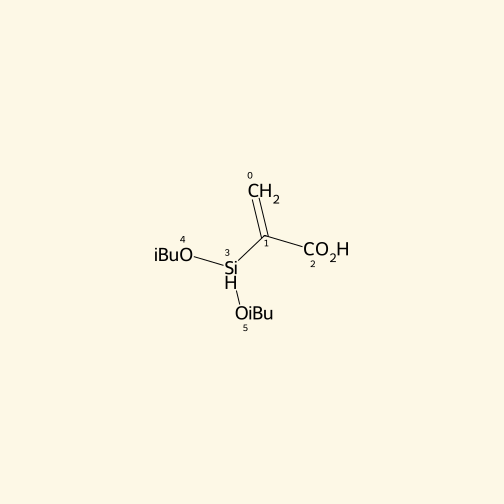 C=C(C(=O)O)[SiH](OCC(C)C)OCC(C)C